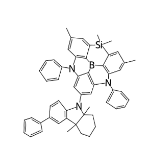 Cc1cc2c3c(c1)[Si](C)(C)c1cc(C)cc4c1B3c1c(cc(N3c5ccc(-c6ccccc6)cc5C5(C)CCCCC35C)cc1N4c1ccccc1)N2c1ccccc1